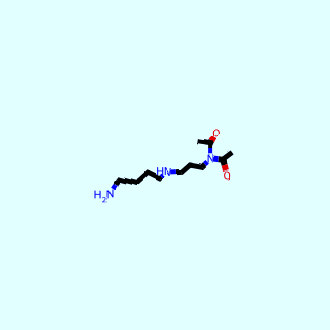 CC(=O)N(CCCNCCCCN)C(C)=O